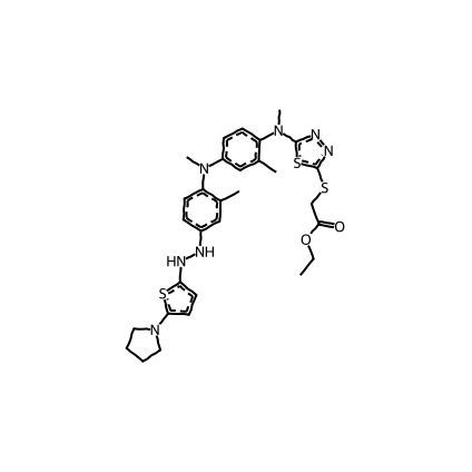 CCOC(=O)CSc1nnc(N(C)c2ccc(N(C)c3ccc(NNc4ccc(N5CCCC5)s4)cc3C)cc2C)s1